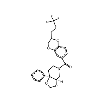 O=C(c1ccc2c(c1)OCC(COC(F)(F)F)O2)N1CC[C@]2(c3ccccc3)OCO[C@@H]2C1